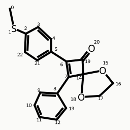 CSc1ccc(C2=C(c3ccccc3)C3(OCCO3)C2=O)cc1